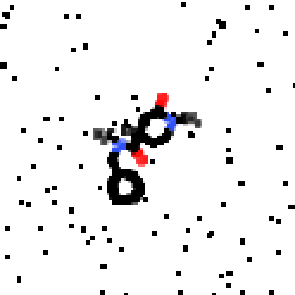 CCC1(C(=O)N(C)Cc2ccccc2)CCN(C)C(=O)C1